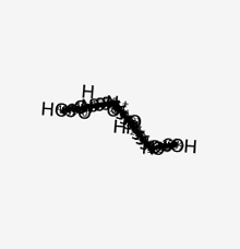 O=C(NCSCSCSC/N=C\[S+]([O-])CSCSCSC(=O)NCSCSCSC/N=C\OOCCSCCO)OCCSCCO